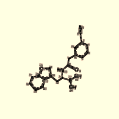 N#Cc1cccc(CC(=O)NC(Cc2coc3ccccc23)B(O)O)c1